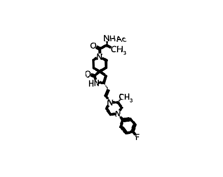 CC(=O)N[C@@H](C)C(=O)N1CCC2(CC1)C[C@H](CCN1CCN(c3ccc(F)cc3)C[C@H]1C)NC2=O